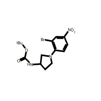 CC(C)(C)OC(=O)NC1CCN(c2ccc([N+](=O)[O-])cc2Br)C1